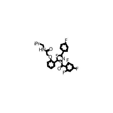 CC(C)CNC(=O)COc1ccccc1C1SC(c2ccc(F)cc2)=NN1C(=O)c1c(F)cc(F)cc1F